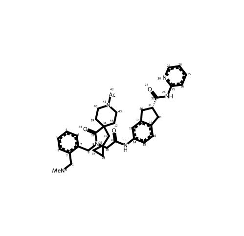 CNCc1ccccc1CN(CC(=O)Nc1ccc2c(c1)C[C@H](C(=O)Nc1ccccn1)C2)C(=O)C1(CC2CC2)CCN(C(C)=O)CC1